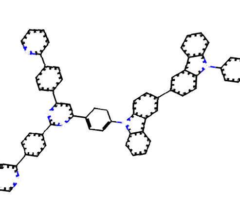 C1=C(c2cc(-c3ccc(-c4ccccn4)cc3)nc(-c3ccc(-c4ccccn4)cc3)n2)CCC(n2c3ccccc3c3cc(-c4ccc5c(c4)c4ccccc4n5-c4ccccc4)ccc32)=C1